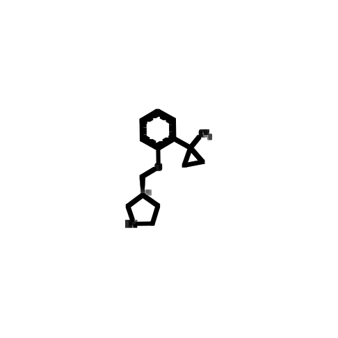 FC(F)(F)C1(c2ccccc2OC[C@H]2CCNC2)CC1